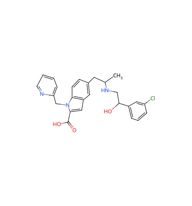 CC(Cc1ccc2c(c1)cc(C(=O)O)n2Cc1ccccn1)NCC(O)c1cccc(Cl)c1